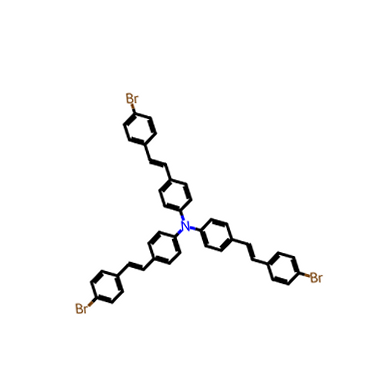 Brc1ccc(/C=C/c2ccc(N(c3ccc(/C=C/c4ccc(Br)cc4)cc3)c3ccc(/C=C/c4ccc(Br)cc4)cc3)cc2)cc1